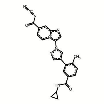 Cc1ccc(C(=O)NC2CC2)cc1-c1cnn(-c2cnc3cc(C(=O)N=[N+]=[N-])ccn23)c1